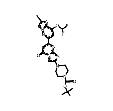 Cc1cn2nc(-c3cc(=O)n4cc(N5CCN(C(=O)OC(C)(C)C)CC5)sc4n3)cc(OC(F)F)c2n1